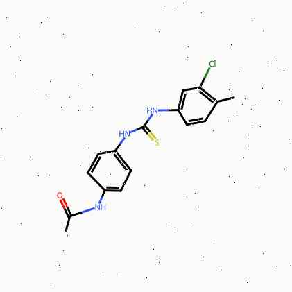 CC(=O)Nc1ccc(NC(=S)Nc2ccc(C)c(Cl)c2)cc1